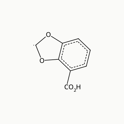 O=C(O)c1cccc2c1O[CH]O2